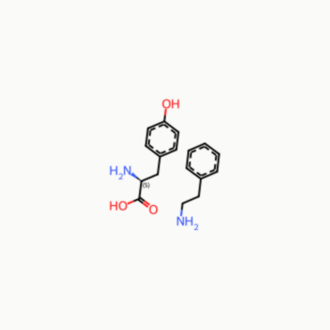 NCCc1ccccc1.N[C@@H](Cc1ccc(O)cc1)C(=O)O